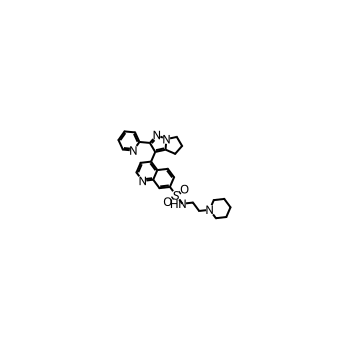 O=S(=O)(NCCN1CCCCC1)c1ccc2c(-c3c(-c4ccccn4)nn4c3CCC4)ccnc2c1